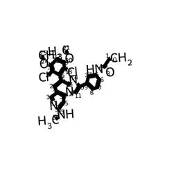 C=CC(=O)Nc1cccc(-c2cn3c(n2)c(-c2c(Cl)c(OC)cc(OC)c2Cl)cc2cnc(NC)cc23)c1